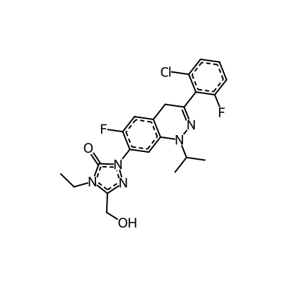 CCn1c(CO)nn(-c2cc3c(cc2F)CC(c2c(F)cccc2Cl)=NN3C(C)C)c1=O